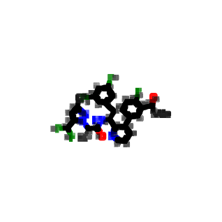 CC[C@@H](C(=O)N[C@@H](Cc1cc(F)cc(F)c1)c1ncccc1-c1ccc(F)c(C(=O)NC)c1)n1nc(C(F)(F)F)cc1C(F)F